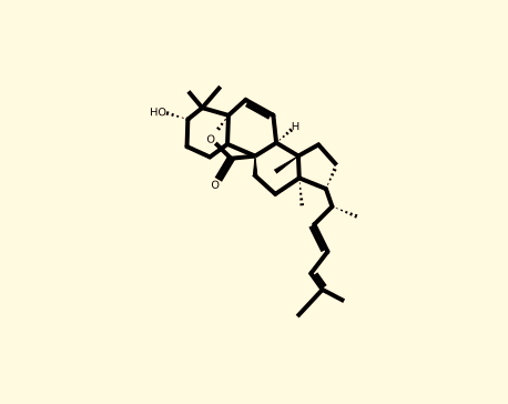 CC(C)=C/C=C/[C@@H](C)[C@H]1CC[C@@]2(C)[C@@H]3C=C[C@@]45OC(=O)[C@]3(CC[C@]12C)C4CC[C@H](O)C5(C)C